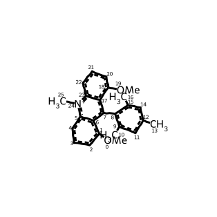 COc1cccc2c1c(-c1c(C)cc(C)cc1C)c1c(OC)cccc1[n+]2C